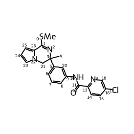 CSC1=NC(C)(c2cccc(NC(=O)c3ccc(Cl)cn3)c2)Cn2cccc21